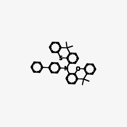 CC1(C)c2ccccc2Oc2c(N(c3ccc(-c4ccccc4)cc3)c3cccc4c3Sc3ccccc3C4(C)C)cccc21